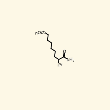 CCCCCCCCCCCCCCC(C(N)=O)C(C)C